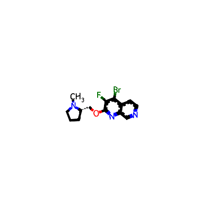 CN1CCC[C@H]1COc1nc2cnccc2c(Br)c1F